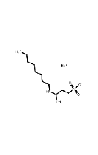 CCCCCCCCNC(C)CCS(=O)(=O)[O-].[Na+]